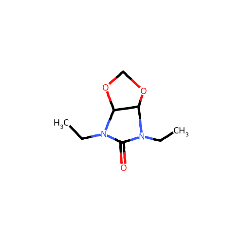 CCN1C(=O)N(CC)C2OCOC21